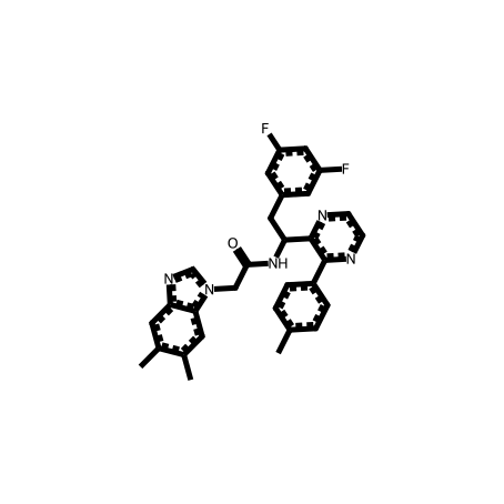 Cc1ccc(-c2nccnc2C(Cc2cc(F)cc(F)c2)NC(=O)Cn2cnc3cc(C)c(C)cc32)cc1